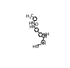 Cc1cccc(NC(=O)Nc2ccc(-c3ccc4c(-c5cnn(CCO)c5)n[nH]c4c3)cc2)c1